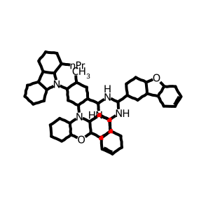 CCCC1CCCC2C3CCCCC3N(C3CC(N4C5CCCCC5OC5CCCCC54)C(C4NC(C5CC=CCC5)NC(C5CCC6OC7CC=CCC7C6C5)N4)CC3C)C12